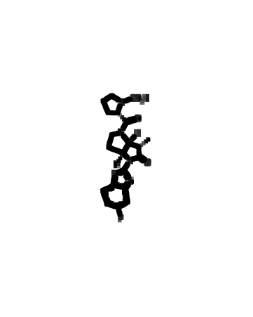 C[C@@H]1C(=O)N(c2nc3ccc(F)cc3s2)[C@H]2CCN(C(=O)[C@@H]3CCCN3C(=O)O)[C@H]12